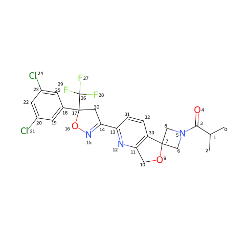 CC(C)C(=O)N1CC2(C1)OCc1nc(C3=NOC(c4cc(Cl)cc(Cl)c4)(C(F)(F)F)C3)ccc12